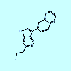 FC(F)(F)CCc1ncc2c(-c3ccc4ncncc4c3)c[nH]c2n1